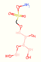 NOS(=O)(=O)COBB(O)B(BO)OBO